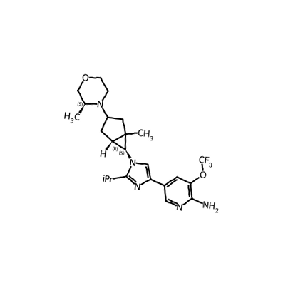 CC(C)c1nc(-c2cnc(N)c(OC(F)(F)F)c2)cn1[C@H]1[C@@H]2CC(N3CCOC[C@@H]3C)CC12C